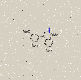 COc1cc(OC)cc(/C(=C/N)c2cc(OC)ccc2OC)c1